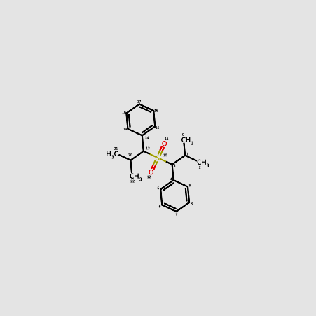 CC(C)C(c1ccccc1)S(=O)(=O)C(c1ccccc1)C(C)C